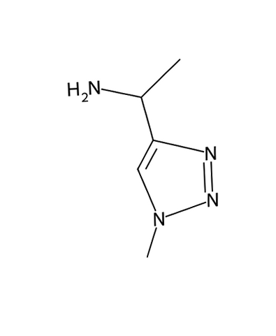 CC(N)c1cn(C)nn1